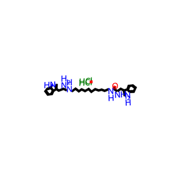 Cl.Cl.NC(Cc1c[nH]c2ccccc12)C(=O)NCCCCCCCCCCCCNC[C@H](N)Cc1c[nH]c2ccccc12